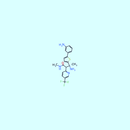 CNC(=O)C(c1ccc(C(F)(F)F)cn1)[C@](C)(N)c1ccc(-c2cccc(N)c2)s1